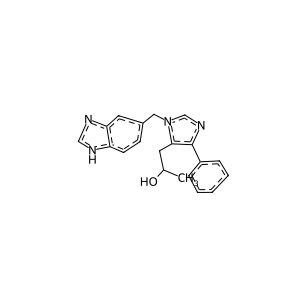 CC(O)Cc1c(-c2ccccc2)ncn1Cc1ccc2[nH]cnc2c1